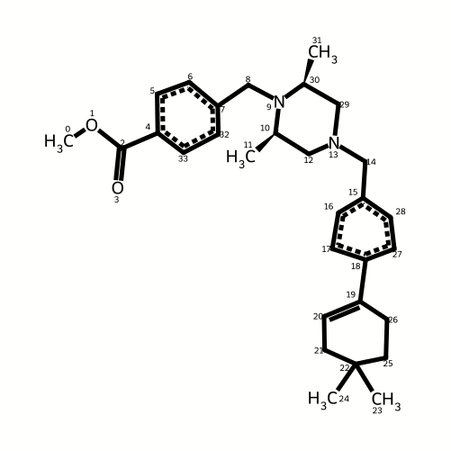 COC(=O)c1ccc(CN2[C@H](C)CN(Cc3ccc(C4=CCC(C)(C)CC4)cc3)C[C@@H]2C)cc1